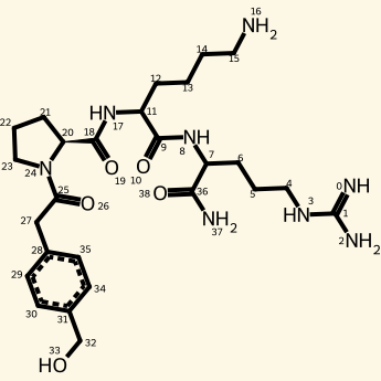 N=C(N)NCCCC(NC(=O)C(CCCCN)NC(=O)[C@@H]1CCCN1C(=O)Cc1ccc(CO)cc1)C(N)=O